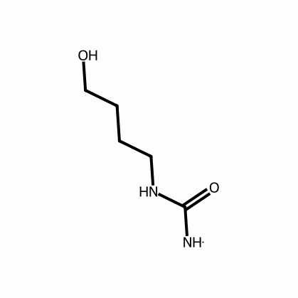 [NH]C(=O)NCCCCO